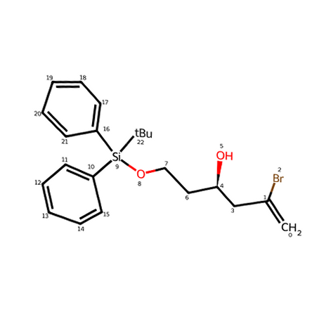 C=C(Br)C[C@H](O)CCO[Si](c1ccccc1)(c1ccccc1)C(C)(C)C